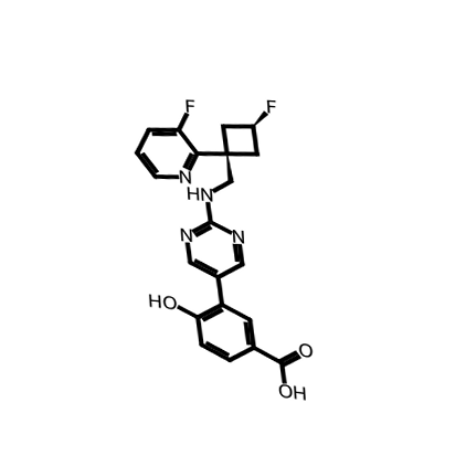 O=C(O)c1ccc(O)c(-c2cnc(NC[C@]3(c4ncccc4F)C[C@H](F)C3)nc2)c1